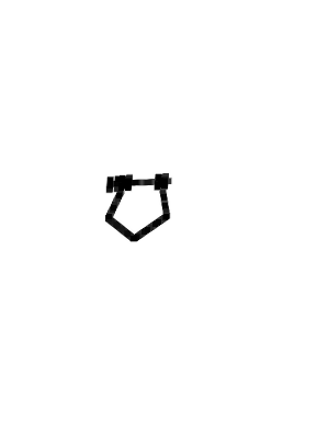 C1C[N]NC1